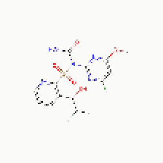 COc1cc(Cl)nc(N(C(N)=O)S(=O)(=O)c2ncccc2C(O)C(C)F)n1